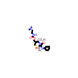 CC(=O)N(c1ccccc1)C1C(=O)N2C(C(=O)O)=C(COC(=O)NCCN(C)C)C[S+]([O-])[C@@H]12